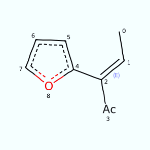 C/C=C(/C(C)=O)c1ccco1